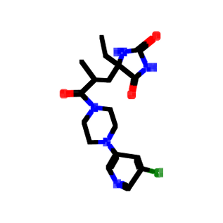 CCC1(CC(C)C(=O)N2CCN(c3cncc(Cl)c3)CC2)NC(=O)NC1=O